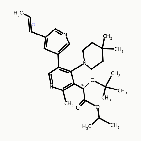 C/C=C/c1cncc(-c2cnc(C)c([C@H](OC(C)(C)C)C(=O)OC(C)C)c2N2CCC(C)(C)CC2)c1